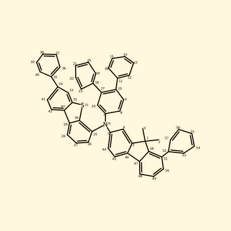 CC1(C)c2cc(N(c3ccc(-c4ccccc4)c(-c4ccccc4)c3)c3cccc4c3sc3cc(-c5ccccc5)ccc34)ccc2-c2cccc(-c3ccccc3)c21